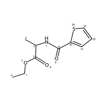 CCOC(=O)C(C)NC(=O)c1cccs1